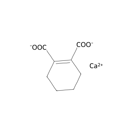 O=C([O-])C1=C(C(=O)[O-])CCCC1.[Ca+2]